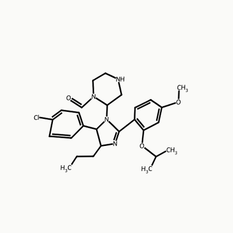 CCCC1N=C(c2ccc(OC)cc2OC(C)C)N(C2CNCCN2C=O)C1c1ccc(Cl)cc1